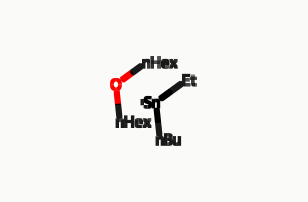 CCCCCCOCCCCCC.CCC[CH2][Sn][CH2]C